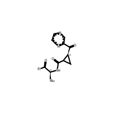 CCC(=O)[C@@H](NC(=O)C1C[C@@H]1C(=O)c1cnccn1)C(C)(C)C